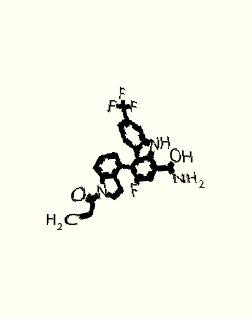 C=CC(=O)N1CCc2c(-c3c(F)cc(C(N)O)c4[nH]c5cc(C(F)(F)F)ccc5c34)cccc21